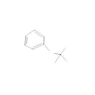 F[C](Cl)(Cl)[Hg][c]1ccccc1